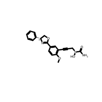 COc1ccc(C2=N[C@H](c3ccccc3)CO2)cc1C#CCN(O)C(N)=O